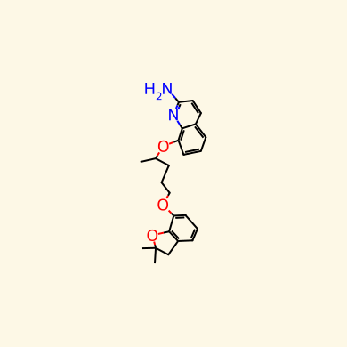 CC(CCCOc1cccc2c1OC(C)(C)C2)Oc1cccc2ccc(N)nc12